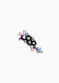 CC(C)(C)NC(=O)[C@H]1CC[C@H]2[C@@H]3CC[C@H]4NC(=O)C(I)=C[C@]4(C)[C@H]3CC[C@]12C